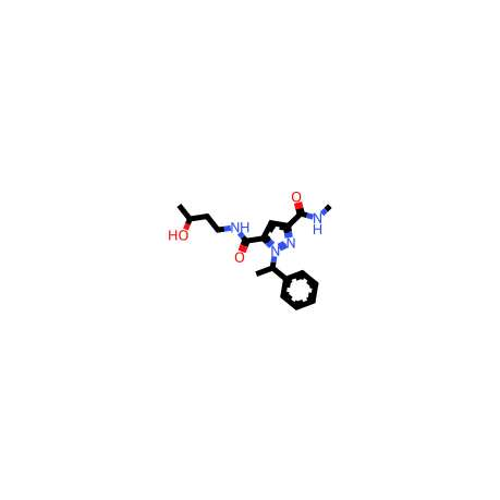 CNC(=O)c1cc(C(=O)NCCC(C)O)n(C(C)c2ccccc2)n1